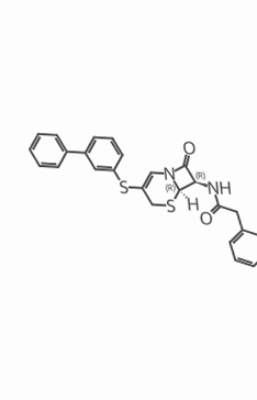 O=C(Cc1ccccc1)N[C@@H]1C(=O)N2C=C(Sc3cccc(-c4ccccc4)c3)CS[C@H]12